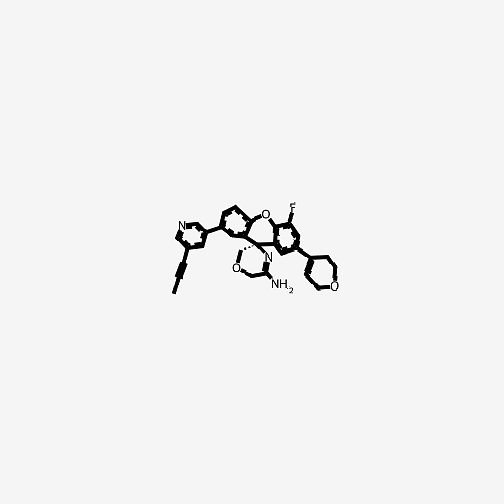 CC#Cc1cncc(-c2ccc3c(c2)[C@@]2(COCC(N)=N2)c2cc(C4=CCOCC4)cc(F)c2O3)c1